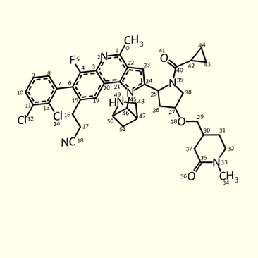 Cc1nc2c(F)c(-c3cccc(Cl)c3Cl)c(CCC#N)cc2c2c1cc(C1CC(OCC3CCN(C)C(=O)C3)CN1C(=O)C1CC1)n2C1C2CNC1C2